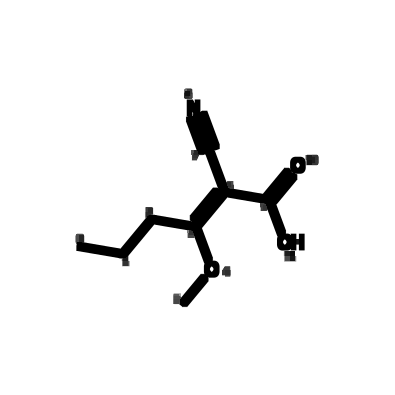 CCC/C(OC)=C(\C#N)C(=O)O